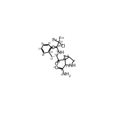 NC(=O)C1NCC2CC21C(=O)[C@H](Cc1ccccc1)NC(=O)C(F)(F)Cl